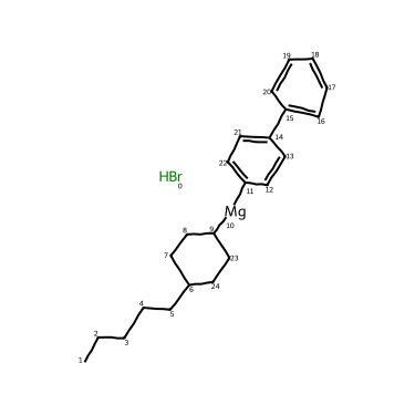 Br.CCCCCC1CC[CH]([Mg][c]2ccc(-c3ccccc3)cc2)CC1